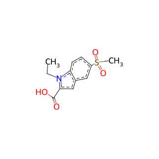 CCn1c(C(=O)O)cc2cc(S(C)(=O)=O)ccc21